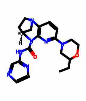 CCC1CN(c2ccc3c(n2)N(C(=O)Nc2cnccn2)[C@H]2CCN3C2)CCO1